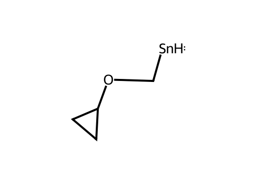 [SnH][CH2]OC1CC1